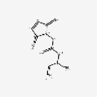 C=CC(C)OC(=O)CN1C(=O)C=CC1=O